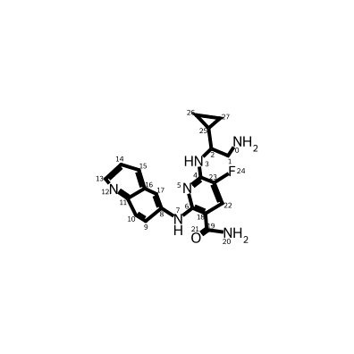 NCC(Nc1nc(Nc2ccc3ncccc3c2)c(C(N)=O)cc1F)C1CC1